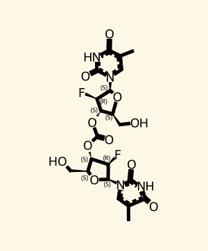 Cc1cn([C@H]2O[C@@H](CO)[C@H](OC(=O)O[C@@H]3[C@@H](F)[C@@H](n4cc(C)c(=O)[nH]c4=O)O[C@H]3CO)[C@H]2F)c(=O)[nH]c1=O